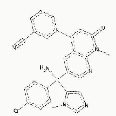 Cn1cncc1[C@@](N)(c1ccc(Cl)cc1)c1cnc2c(c1)c(-c1cccc(C#N)c1)cc(=O)n2C